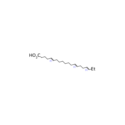 CC/C=C/CC/C=C/CCCCCC/C=C/CCCC(=O)O